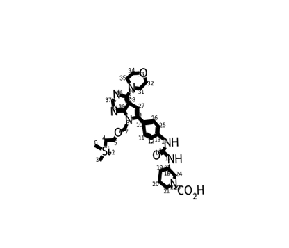 C[Si](C)(C)CCOCn1c(-c2ccc(NC(=O)N[C@H]3CCCN(C(=O)O)C3)cc2)cc2c(N3CCOCC3)ncnc21